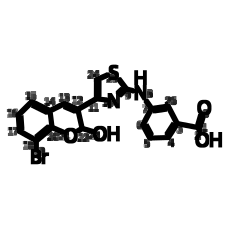 O=C(O)c1cccc(Nc2nc(C3=Cc4cccc(Br)c4OC3O)cs2)c1